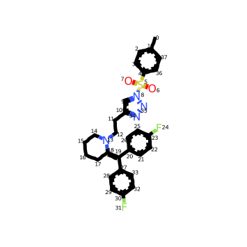 Cc1ccc(S(=O)(=O)n2cc(CCN3CCCCC3=C(c3ccc(F)cc3)c3ccc(F)cc3)nn2)cc1